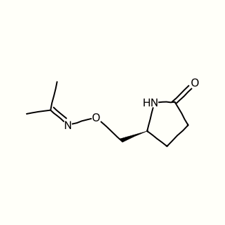 CC(C)=NOC[C@@H]1CCC(=O)N1